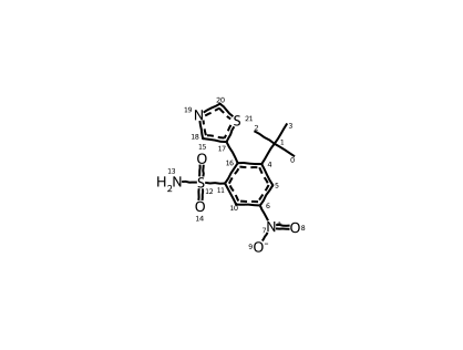 CC(C)(C)c1cc([N+](=O)[O-])cc(S(N)(=O)=O)c1-c1cncs1